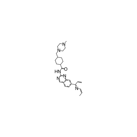 C=C/C(=N\C=C/C)c1ccc2cnc(NC(=O)C3CCC(CN4CCN(C)CC4)CC3)nc2c1